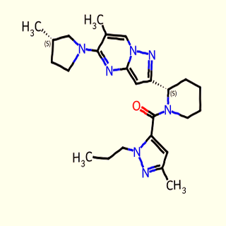 CCCn1nc(C)cc1C(=O)N1CCCC[C@H]1c1cc2nc(N3CC[C@H](C)C3)c(C)cn2n1